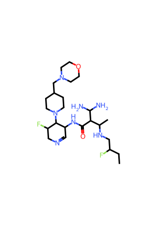 CCC(F)CNC(C)C(C(=O)NC1C=NCC(F)C1N1CCC(CN2CCOCC2)CC1)C(N)N